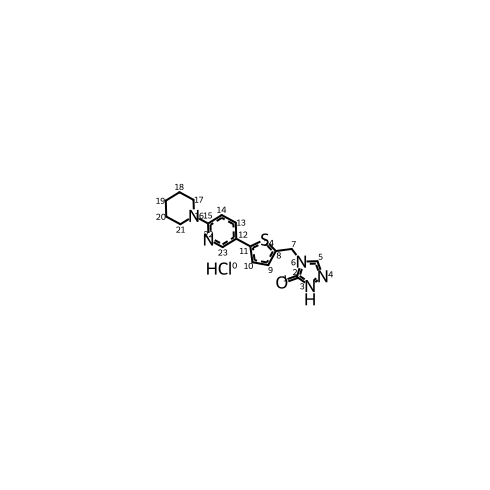 Cl.O=c1[nH]ncn1Cc1ccc(-c2ccc(N3CCCCC3)nc2)s1